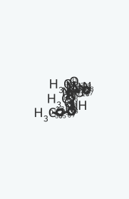 Cc1ccc(-c2cccc(NC(=O)Cn3c(C)nc4c3c(=O)n(Cc3ccccn3)c(=O)n4C)n2)cc1